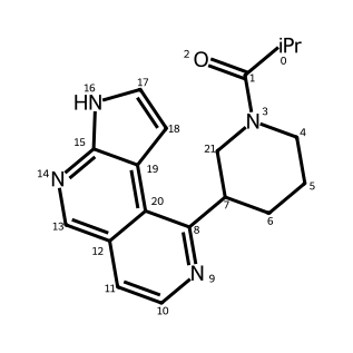 CC(C)C(=O)N1CCCC(c2nccc3cnc4[nH]ccc4c23)C1